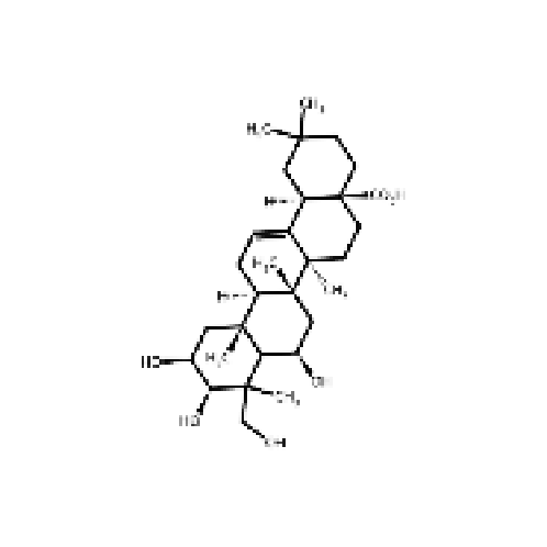 CC1(C)CC[C@]2(C(=O)O)CC[C@]3(C)C(=CC[C@@H]4[C@@]5(C)C[C@H](O)[C@H](O)C(C)(CO)C5[C@H](O)C[C@]43C)[C@H]2C1